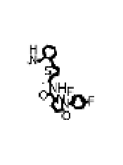 CNCc1ccccc1-c1ccc([C@@H](C)NC(=O)c2ccc(=O)n(-c3ccc(F)cc3F)n2)s1